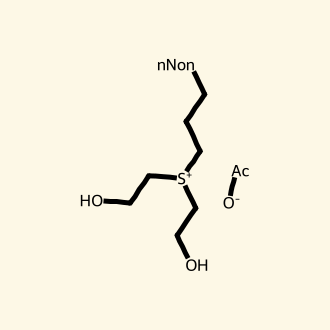 CC(=O)[O-].CCCCCCCCCCCC[S+](CCO)CCO